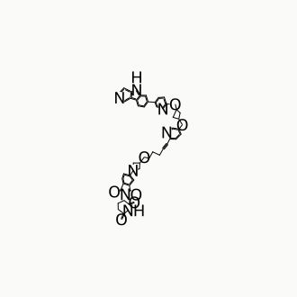 O=C1CCC(N2C(=O)c3ccc(N4CC(OCCCC#Cc5ccc(OC6CC(Oc7ccc(-c8ccc9c(c8)[nH]c8ccncc89)cn7)C6)cn5)C4)cc3C2=O)C(=O)N1